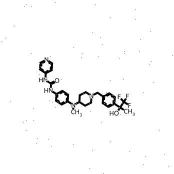 CN(c1ccc(NC(=O)Nc2ccncc2)cc1)C1CCN(Cc2ccc(C(C)(O)C(F)(F)F)cc2)CC1